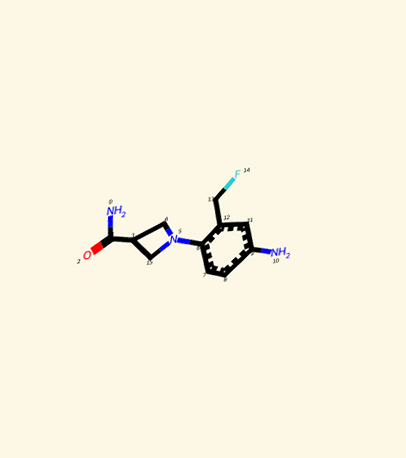 NC(=O)C1CN(c2ccc(N)cc2CF)C1